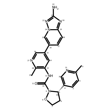 Cc1ccc([C@@H]2CCON2C(=O)Nc2cc(-c3ccc4nc(N)nn4c3)cnc2C)cn1